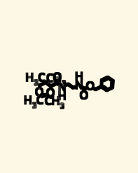 CC1(C)OCC(C)(C)C(C(=O)NCCNC(=O)OCc2ccccc2)O1